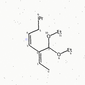 CC=C(/C=C\CC(C)C)C(OCC)OCC